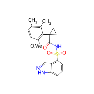 COc1ccc(C)c(C)c1C1(C(=O)NS(=O)(=O)c2cccc3[nH]ncc23)CC1